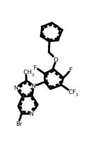 Cc1nc2cc(Br)ncc2n1-c1cc(C(F)(F)F)c(F)c(OCc2ccccc2)c1F